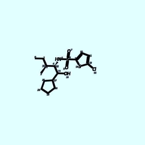 CC[C@H](C)[C@H](NS(=O)(=O)c1ccc(Cl)s1)C(O)C1CCCC1